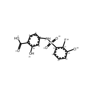 O=C(O)c1ccc(NS(=O)(=O)c2cccc(Cl)c2F)cc1O